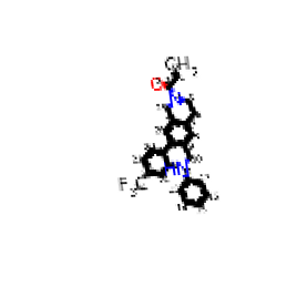 C=CC(=O)N1CCc2cc(CNc3ccccc3)c(-c3ccc(C(F)(F)F)cc3)cc2C1